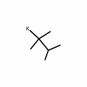 CC(C)[C](C)(C)[K]